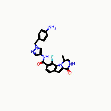 CC1CNC(=O)c2cc3ccc(C(=O)Nc4cnn(Cc5ccc(N)cc5)c4)c(F)c3n21